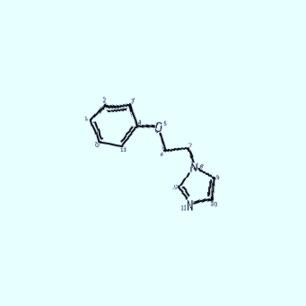 [c]1cccc(OCCn2ccnc2)c1